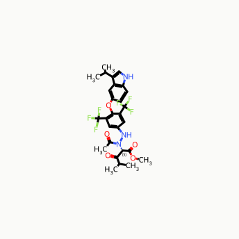 COC(=O)[C@H](C(=O)C(C)C)N(Nc1cc(C(F)(F)F)c(Oc2ccc3[nH]cc(C(C)C)c3c2)c(C(F)(F)F)c1)C(C)=O